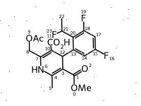 COC(=O)C1=C(C)NC(COC(C)=O)=C(C(=O)O)C1c1cc(F)cc(F)c1C(C)F